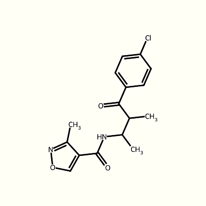 Cc1nocc1C(=O)NC(C)C(C)C(=O)c1ccc(Cl)cc1